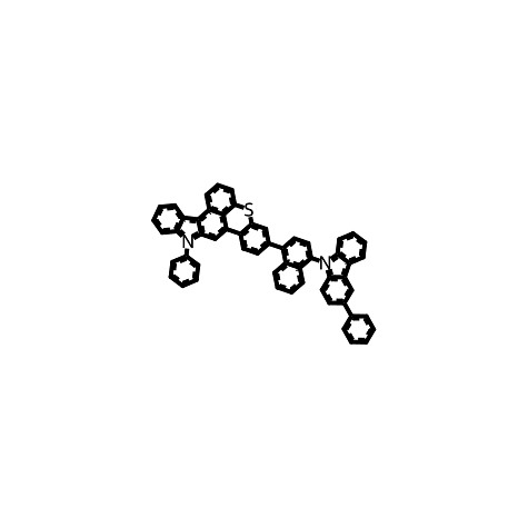 c1ccc(-c2ccc3c(c2)c2ccccc2n3-c2ccc(-c3ccc4c(c3)Sc3cccc5c3c-4cc3c5c4ccccc4n3-c3ccccc3)c3ccccc23)cc1